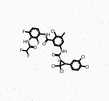 Cc1cc(NC(=O)[C@H]2C(c3ccc(Cl)c(Cl)c3)C2(Cl)Cl)cc(C(=O)Nc2ccc(F)c(NC(=O)C(F)F)c2F)c1Cl